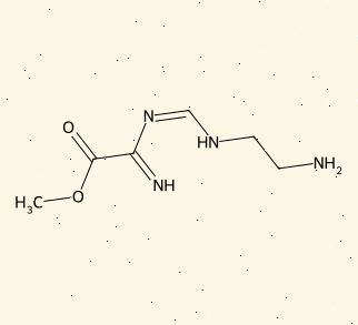 COC(=O)C(=N)/N=C\NCCN